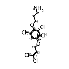 Cl.NCCCOc1c(Cl)cc(OCC=C(Cl)Cl)cc1Cl